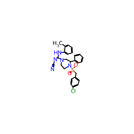 Cc1ccccc1N/C(=N/C#N)N1CCN(S(=O)(=O)Cc2ccc(Cl)cc2)C(c2ccccc2)C1